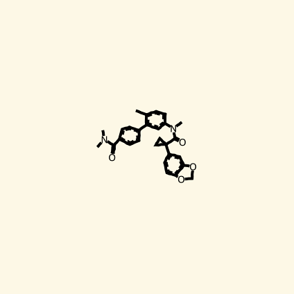 Cc1ccc(N(C)C(=O)C2(c3ccc4c(c3)OCO4)CC2)cc1-c1ccc(C(=O)N(C)C)cc1